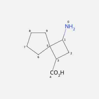 NC1CC(C(=O)O)C12CCCC2